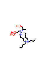 CC(CO)NCCO.CCCC[N+](CCCC)(CCCC)CCCC.[OH-]